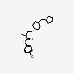 CN(CC[C@H]1CC[C@H](CN2CCCC2)CC1)C(=O)Oc1ccc(Cl)cc1